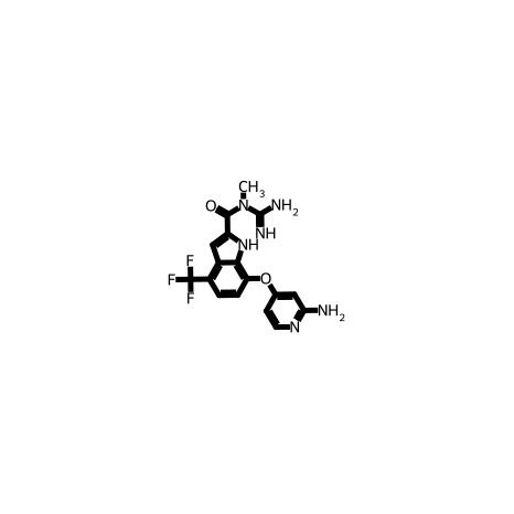 CN(C(=N)N)C(=O)c1cc2c(C(F)(F)F)ccc(Oc3ccnc(N)c3)c2[nH]1